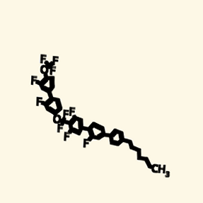 CCCCCCCc1ccc(-c2ccc(-c3cc(F)c(C(F)(F)Oc4ccc(-c5ccc(OC(F)(F)F)c(F)c5)c(F)c4)c(F)c3)c(F)c2)cc1